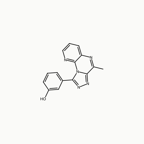 Cc1nc2cccnc2n2c(-c3cccc(O)c3)nnc12